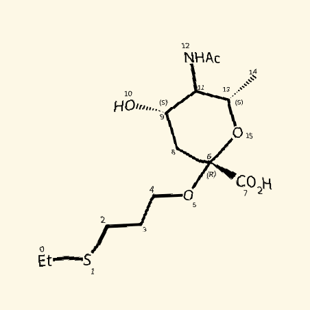 CCSCCCO[C@]1(C(=O)O)C[C@H](O)C(NC(C)=O)[C@H](C)O1